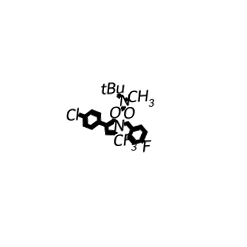 CN(CC(C)(C)C)C(=O)Oc1c(-c2ccc(Cl)cc2)cc(C(F)(F)F)n1Cc1ccc(F)cc1